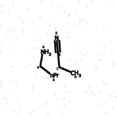 CCC#N.CCCCN